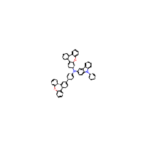 c1ccc(-n2c3ccccc3c3cc(N(c4ccc(-c5ccc6c(c5)-c5ccccc5Oc5ccccc5-6)cc4)c4ccc5c(c4)Oc4ccccc4-c4ccccc4-5)ccc32)cc1